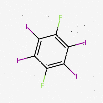 Fc1c(I)c(I)c(F)c(I)c1I